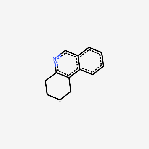 [C]1CCc2ncc3ccccc3c2C1